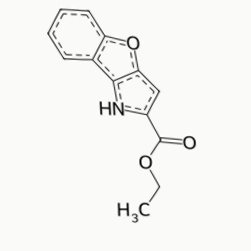 CCOC(=O)c1cc2oc3ccccc3c2[nH]1